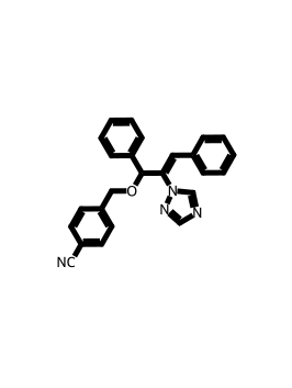 N#Cc1ccc(COC(C(=Cc2ccccc2)n2cncn2)c2ccccc2)cc1